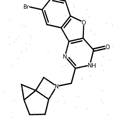 O=c1[nH]c(CN2CC34CC3CCC24)nc2c1oc1ccc(Br)cc12